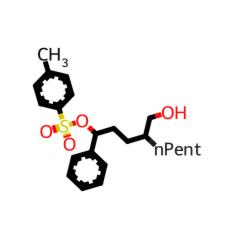 CCCCCC(CO)CCC(OS(=O)(=O)c1ccc(C)cc1)c1ccccc1